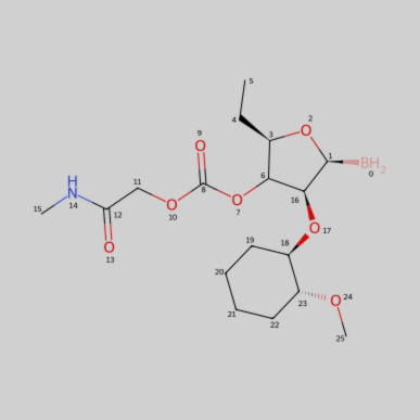 B[C@@H]1O[C@H](CC)C(OC(=O)OCC(=O)NC)[C@@H]1O[C@@H]1CCCC[C@H]1OC